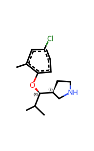 Cc1cc(Cl)ccc1O[C@H](C(C)C)[C@H]1CCNC1